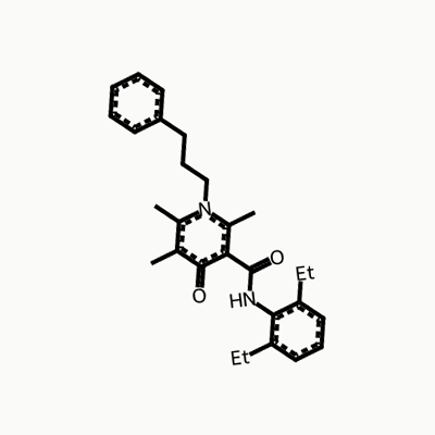 CCc1cccc(CC)c1NC(=O)c1c(C)n(CCCc2ccccc2)c(C)c(C)c1=O